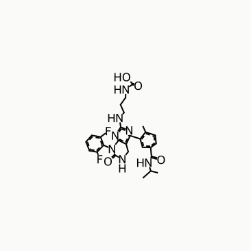 Cc1ccc(C(=O)NC(C)C)cc1-c1nc(NCCCNC(=O)O)nc2c1CNC(=O)N2c1c(F)cccc1F